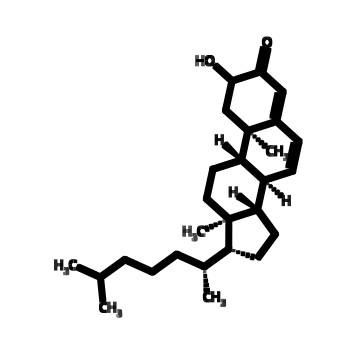 CC(C)CCC[C@@H](C)[C@H]1CC[C@H]2[C@@H]3C=CC4=CC(=O)C(O)C[C@]4(C)[C@H]3CC[C@]12C